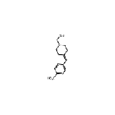 CC(C)(C)CN1CCC(=Cc2ccc(C(=O)O)cc2)CC1